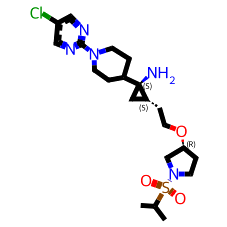 CC(C)S(=O)(=O)N1CC[C@@H](OCC[C@@H]2C[C@]2(N)C2CCN(c3ncc(Cl)cn3)CC2)C1